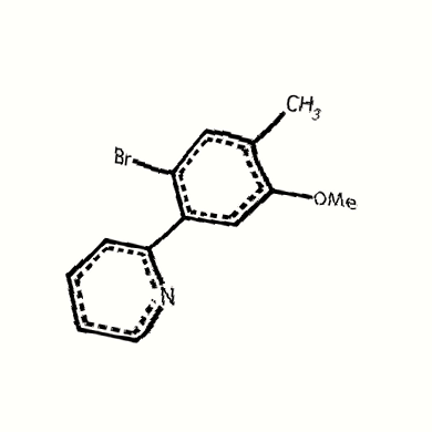 COc1cc(-c2ccccn2)c(Br)cc1C